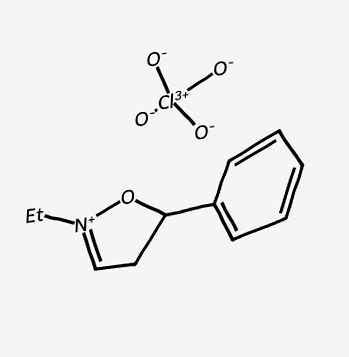 CC[N+]1=CCC(c2ccccc2)O1.[O-][Cl+3]([O-])([O-])[O-]